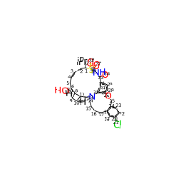 CC(C)C1C/C=C\C[C@@H](O)[C@@H]2CC[C@H]2CN2CCCCc3cc(Cl)ccc3COc3ccc(cc32)C(=O)NS1(=O)=O